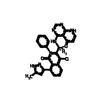 Cc1cc(-c2cccc3c(Cl)c([C@H](C)Nc4ncnc5[nH]ccc(=O)c45)n(-c4ccccc4)c(=O)c23)n[nH]1